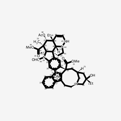 CC[C@]1(O)C[C@H]2C[N@](CCc3c([nH]c4ccccc34)[C@@](C(=O)OC)(c3cc4c(cc3OC)N(C=O)[C@H]3[C@@](C)(C(=O)OC)[C@H](OC(C)=O)[C@]5(CC)C=CNN6CC[C@]43[C@@H]65)C2)C1